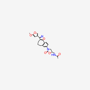 COc1cc(-c2noc3c2CCCc2cc(N4CC(CNC(C)=O)OC4=O)ccc2-3)co1